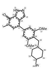 COc1cc(-c2cn(C)c(=O)c3[nH]ncc23)cc(OC)c1CN1CCC(C(C)C)CC1